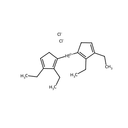 CCC1=CC[C]([Hf+2][C]2=C(CC)C(CC)=CC2)=C1CC.[Cl-].[Cl-]